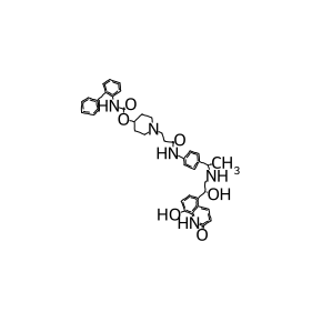 C[C@@H](NC[C@H](O)c1ccc(O)c2[nH]c(=O)ccc12)c1ccc(NC(=O)CCN2CCC(OC(=O)Nc3ccccc3-c3ccccc3)CC2)cc1